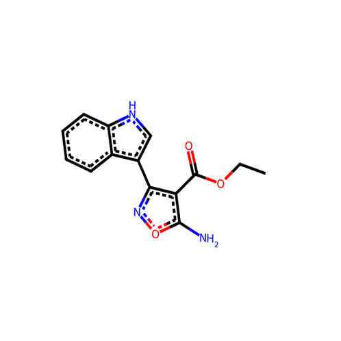 CCOC(=O)c1c(-c2c[nH]c3ccccc23)noc1N